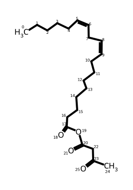 CCCCC/C=C\C/C=C\CCCCCCCC(=O)OC(=O)CC(C)=O